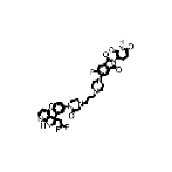 O=C1CCC(N2C(=O)c3cc(F)c(N4CCN(CCCN5CCN(c6cccc(C7(CC(F)F)CNc8nccc(Cl)c87)c6)C(=O)C5)CC4)cc3C2=O)C(=O)N1